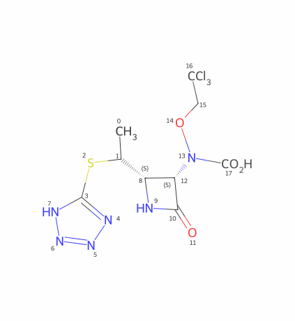 CC(Sc1nnn[nH]1)[C@H]1NC(=O)[C@H]1N(OCC(Cl)(Cl)Cl)C(=O)O